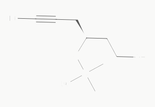 CCC#CC[C@@H](CCO)O[Si](C)(C)C(C)(C)C